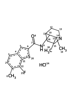 Cc1ccc2cc(C(=O)NC3C4CCN(CC4)C3(C)C)sc2c1F.Cl